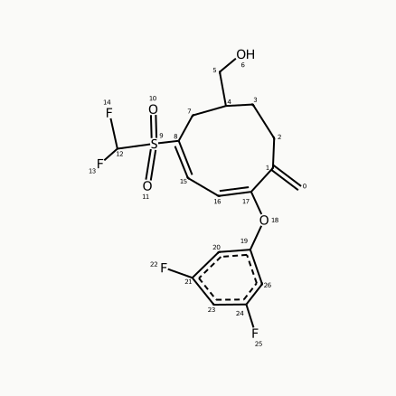 C=C1CCC(CO)C/C(S(=O)(=O)C(F)F)=C\C=C/1Oc1cc(F)cc(F)c1